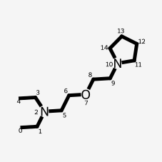 CCN(CC)CCOCCN1CCCC1